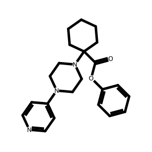 O=C(Oc1ccccc1)C1(N2CCN(c3ccncc3)CC2)CCCCC1